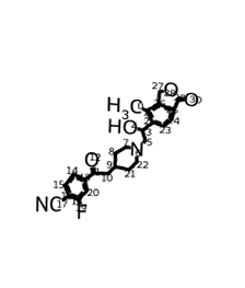 Cc1c(C(O)CN2CCC(CC(=O)c3ccc(C#N)c(F)c3)CC2)ccc2c1COC2=O